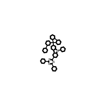 c1ccc(-c2cccc(C3(c4ccc5c6cc(-c7nc(-c8ccccc8)nc(-c8ccccc8)n7)ccc6n(-c6ccccc6)c5c4)c4ccccc4-c4ccccc43)c2)cc1